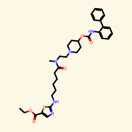 CCOC(=O)c1cnc(NCCCCCC(=O)N(C)CCN2CCC(OC(=O)Nc3ccccc3-c3ccccc3)CC2)s1